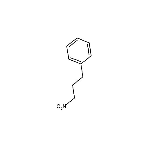 O=[N+]([O-])[CH]CCc1ccccc1